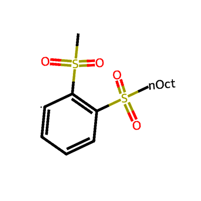 CCCCCCCCS(=O)(=O)c1ccc[c]c1S(C)(=O)=O